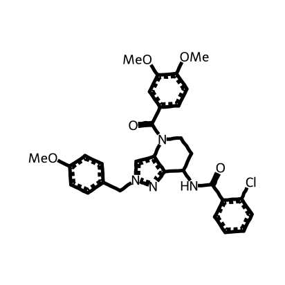 COc1ccc(Cn2cc3c(n2)C(NC(=O)c2ccccc2Cl)CCN3C(=O)c2ccc(OC)c(OC)c2)cc1